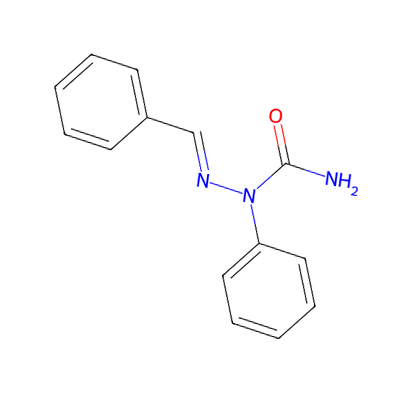 NC(=O)N(/N=C/c1ccccc1)c1ccccc1